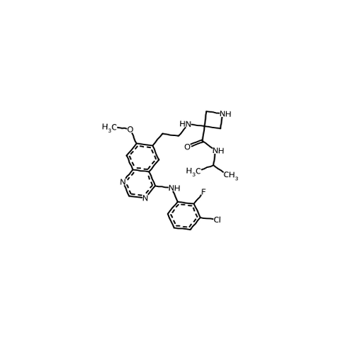 COc1cc2ncnc(Nc3cccc(Cl)c3F)c2cc1CCNC1(C(=O)NC(C)C)CNC1